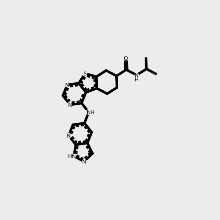 CC(C)NC(=O)C1CCc2c(sc3ncnc(Nc4cnc5[nH]ncc5c4)c23)C1